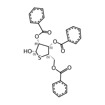 O=C(OC[C@@H]1S[C@H](O)[C@H](OC(=O)c2ccccc2)[C@@H]1OC(=O)c1ccccc1)c1ccccc1